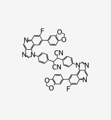 N#CC(c1ccc(-n2cnc3cnc4cc(F)c(-c5ccc6c(c5)OCO6)cc4c32)cc1)C(C#N)c1ccc(-n2cnc3cnc4cc(F)c(-c5ccc6c(c5)OCO6)cc4c32)cc1